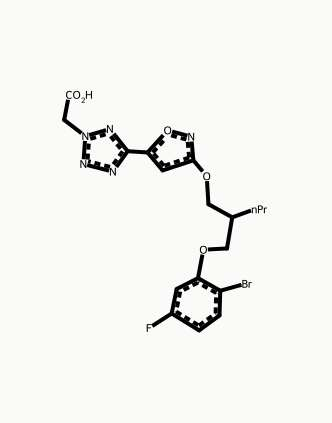 CCCC(COc1cc(-c2nnn(CC(=O)O)n2)on1)COc1cc(F)ccc1Br